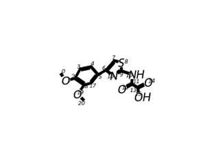 COc1ccc(-c2csc(NC(=O)C(=O)O)n2)cc1OC